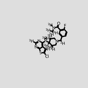 [2H]c1nc(N([2H])C2([2H])C([2H])([2H])CN(C([2H])c3ccc(F)c(C(=O)N([2H])C([2H])([2H])[2H])c3)CC2([2H])[2H])c2c([2H])c(Cl)sc2n1